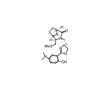 CSC[C@H]1[C@H]2SC[C@@H](C(=O)N1C[C@@H]1COC(c3cc(N(C)C)ccc3O)=N1)N2C